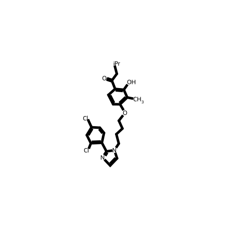 Cc1c(OCCCCn2ccnc2-c2ccc(Cl)cc2Cl)ccc(C(=O)CC(C)C)c1O